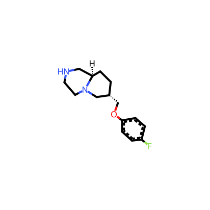 Fc1ccc(OC[C@H]2CC[C@@H]3CNCCN3C2)cc1